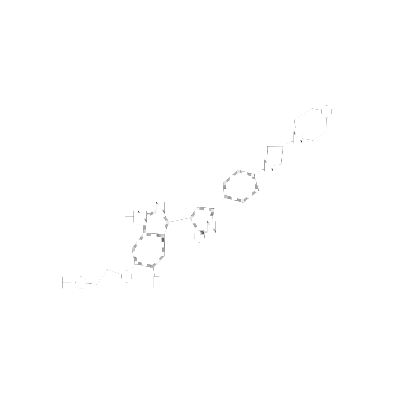 OCCOc1cc2[nH]nc(-c3cc(-c4ccc(N5CC(N6CCOCC6)C5)cc4)no3)c2cc1F